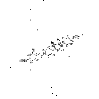 CCCCC1C=C(F)C(CCc2ccc(-c3ccc(C4CCC(CCC)CC4)c(F)c3F)cc2)CC1